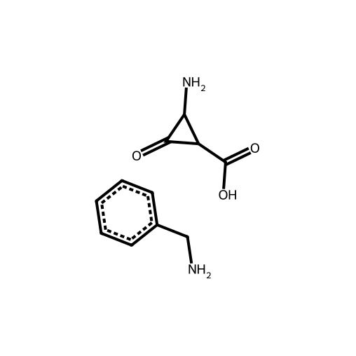 NC1C(=O)C1C(=O)O.NCc1ccccc1